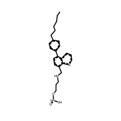 CCCCCCc1ccc(-c2ccc(CNCCCO[PH](=O)O)c3ncccc23)cc1